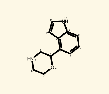 c1cc(C2CNCCO2)c2cc[nH]c2c1